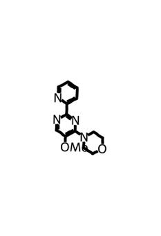 COc1cnc(-c2ccccn2)nc1N1CCOCC1